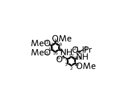 COc1ccc(C(=O)Nc2cc(OC)c(OC)c(OC)c2)cc1NC(=O)C(C)C